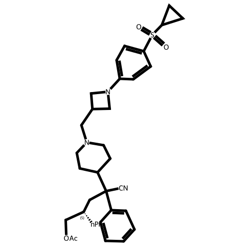 CCC[C@H](COC(C)=O)CC(C#N)(c1ccccc1)C1CCN(CC2CN(c3ccc(S(=O)(=O)C4CC4)cc3)C2)CC1